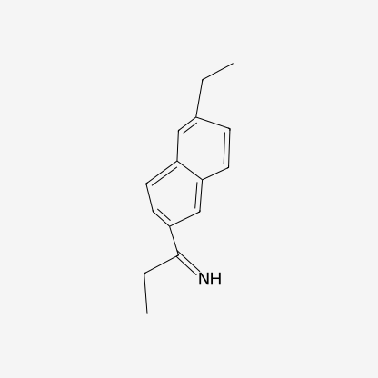 CCC(=N)c1ccc2cc(CC)ccc2c1